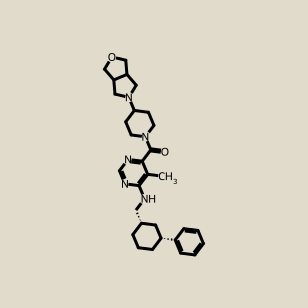 Cc1c(NC[C@H]2CCC[C@@H](c3ccccc3)C2)ncnc1C(=O)N1CCC(N2CC3COCC3C2)CC1